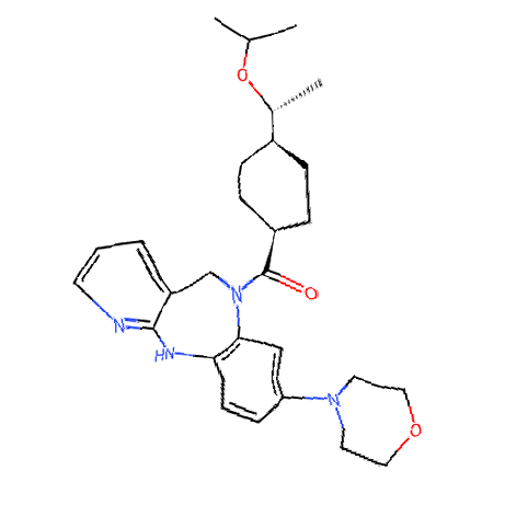 CC(C)O[C@H](C)[C@H]1CC[C@@H](C(=O)N2Cc3cccnc3Nc3ccc(N4CCOCC4)cc32)CC1